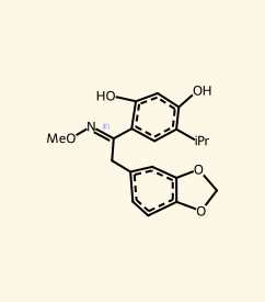 CO/N=C(\Cc1ccc2c(c1)OCO2)c1cc(C(C)C)c(O)cc1O